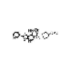 CC(=O)O[C@H]1CC[C@H](NC(=O)c2cnc3sc(-c4cccnc4)nc3c2NC(C)C)CC1